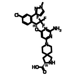 Cn1ccc(-c2cc(Cl)ccc2[C@@H](Oc2cc(N3CCC4(CC3)CN[C@H](C(=O)O)C4)nc(N)n2)C(F)(F)F)n1